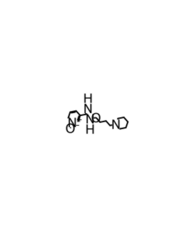 N=C(NOCCCN1CCCCC1)c1ccc[n+]([O-])c1